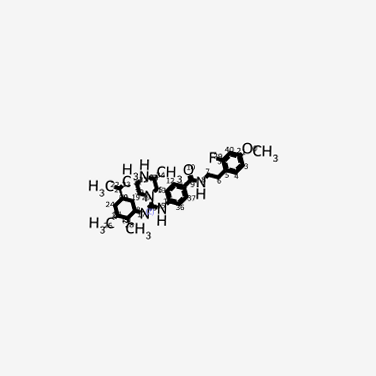 COc1ccc(CCNC(=O)c2ccc(N/C(=N/C3C[C@H](C(C)C)C[C@H](C)[C@@H]3C)N3CCN[C@@H](C)C3)cc2)c(F)c1